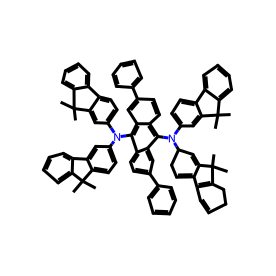 CC1(C)C2=CC(N(c3ccc4c(c3)C(C)(C)c3ccccc3-4)c3c4ccc(-c5ccccc5)cc4c(N(c4ccc5c(c4)-c4ccccc4C5(C)C)c4ccc5c(c4)C(C)(C)c4ccccc4-5)c4ccc(-c5ccccc5)cc34)CC=C2C2=C1CCC=C2